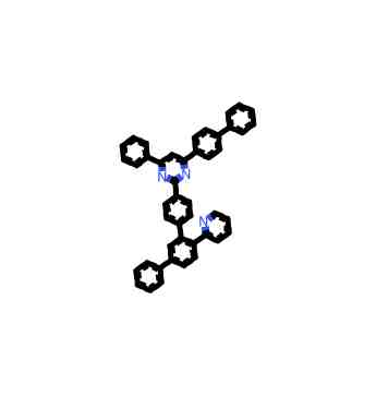 c1ccc(-c2ccc(-c3cc(-c4ccccc4)nc(-c4ccc(-c5cc(-c6ccccc6)ccc5-c5ccccn5)cc4)n3)cc2)cc1